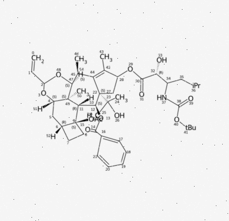 C=CC1O[C@H]2C[C@H]3CC[C@@]3(OC(C)=O)[C@H]3[C@H](OC(=O)c4ccccc4)[C@]4(C(C)(C)O)CC(OC(=O)[C@H](O)C(CC(C)C)NC(=O)OC(C)(C)C)C(C)=C4[C@H](C)[C@H](O1)[C@]23C